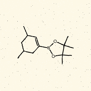 CC1C=C(B2OC(C)(C)C(C)(C)O2)CC(C)C1